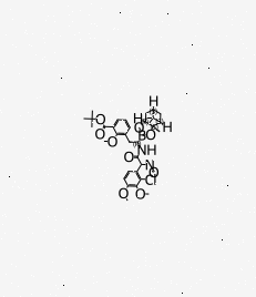 COc1ccc(C(N=O)C(=O)N[C@@H](Cc2cccc(C(=O)OC(C)(C)C)c2OC)B2O[C@@H]3C[C@@H]4C[C@@H](C4(C)C)[C@]3(C)O2)c(Cl)c1OC